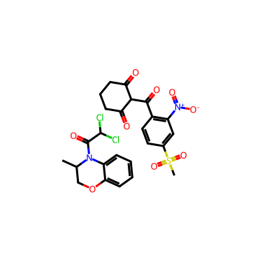 CC1COc2ccccc2N1C(=O)C(Cl)Cl.CS(=O)(=O)c1ccc(C(=O)C2C(=O)CCCC2=O)c([N+](=O)[O-])c1